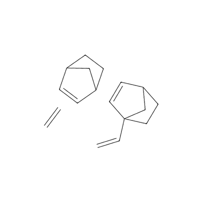 C1=CC2CCC1C2.C=C.C=CC12C=CC(CC1)C2